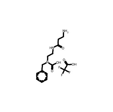 NCCC(=O)NCCN(Cc1ccccc1)C(=O)O.O=C(O)C(F)(F)F